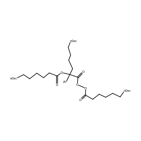 CCCCCCCCCCCCCCCC(=O)OOC(=O)C(CCCCCCCCCCCCCC)(OC(=O)CCCCCCCCCCCCCCC)C(C)C